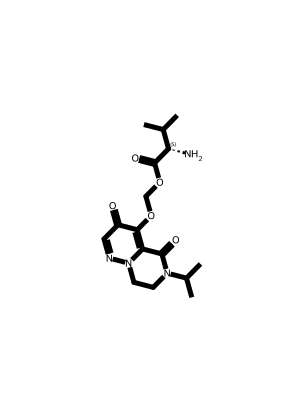 CC(C)[C@H](N)C(=O)OCOc1c2n(ncc1=O)CCN(C(C)C)C2=O